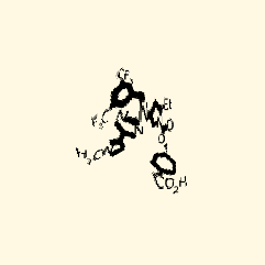 CC[C@@H]1CC(N(Cc2cc(C(F)(F)F)cc(C(F)(F)F)c2)c2ncc(-c3ccn(C)c3)cn2)CN1C(=O)OC[C@H]1CC[C@H](C(=O)O)CC1